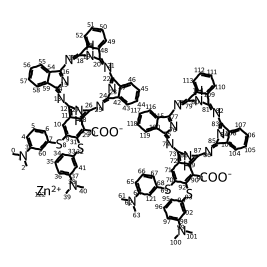 CN(C)c1cccc(Sc2cc3c4nc5nc(nc6[nH]c(nc7nc(nc([nH]4)c3c(C(=O)[O-])c2Sc2cccc(N(C)C)c2)-c2ccccc2-7)c2ccccc62)-c2ccccc2-5)c1.CN(C)c1cccc(Sc2cc3c4nc5nc(nc6[nH]c(nc7nc(nc([nH]4)c3c(C(=O)[O-])c2Sc2cccc(N(C)C)c2)-c2ccccc2-7)c2ccccc62)-c2ccccc2-5)c1.[Zn+2]